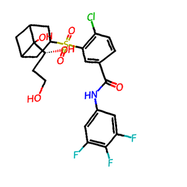 O=C(Nc1cc(F)c(F)c(F)c1)c1ccc(Cl)c(S(=O)(=O)C2CC3CC(C2)C3(O)[C@H](O)CCO)c1